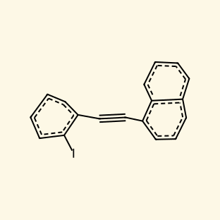 Ic1ccccc1C#Cc1cccc2ccccc12